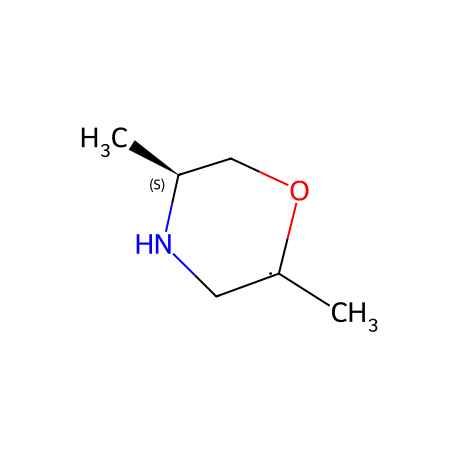 C[C]1CN[C@@H](C)CO1